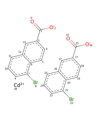 O=C([O-])c1ccc2c(Br)cccc2c1.O=C([O-])c1ccc2c(Br)cccc2c1.[Cd+2]